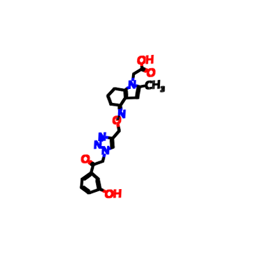 Cc1cc2c(n1CC(=O)O)CCCC2=NOCc1cn(CC(=O)c2cccc(O)c2)nn1